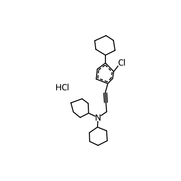 Cl.Clc1cc(C#CCN(C2CCCCC2)C2CCCCC2)ccc1C1CCCCC1